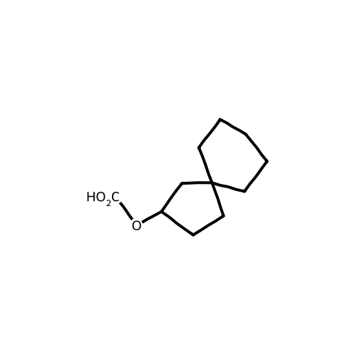 O=C(O)OC1CCC2(CCCCC2)C1